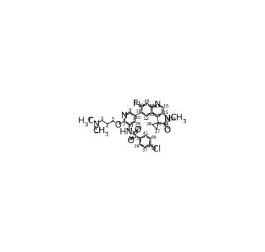 CN(C)CCCOc1ncc(-c2cc3c4c(cnc3cc2F)N(C)C(=O)C42CC2)cc1NS(=O)(=O)c1ccc(Cl)cc1